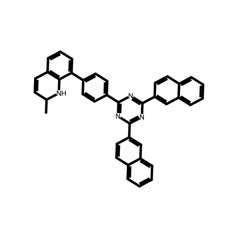 CC1C=Cc2cccc(-c3ccc(-c4nc(-c5ccc6ccccc6c5)nc(-c5ccc6ccccc6c5)n4)cc3)c2N1